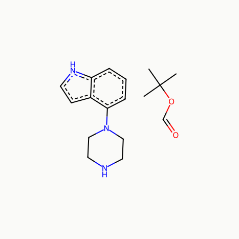 CC(C)(C)OC=O.c1cc(N2CCNCC2)c2cc[nH]c2c1